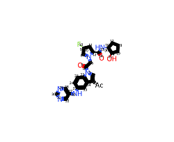 CC(=O)c1cn(C(=O)CN2C[C@H](F)C[C@H]2C(=O)N[C@@H]2CCC[C@H]2O)c2ccc(Nc3cncnc3)cc12